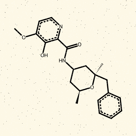 COc1ccnc(C(=O)NC2C[C@H](C)O[C@](C)(Cc3ccccc3)C2)c1O